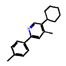 Cc1ccc(-c2cc(C)c(C3CCCCC3)cn2)cc1